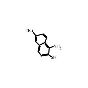 CC(C)(C)c1ccc2c(N)c(S)ccc2c1